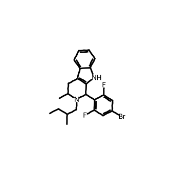 CCC(C)CN1C(C)Cc2c([nH]c3ccccc23)C1c1c(F)cc(Br)cc1F